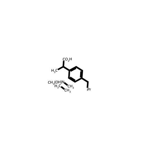 CC.CC(C)Cc1ccc(C(C)C(=O)O)cc1.CN(C)O